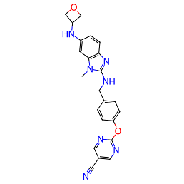 Cn1c(NCc2ccc(Oc3ncc(C#N)cn3)cc2)nc2ccc(NC3COC3)cc21